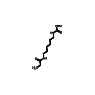 COC(=O)NCCCCCCNC(=O)CN